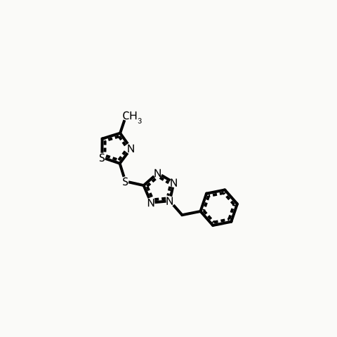 Cc1csc(Sc2nnn(Cc3ccccc3)n2)n1